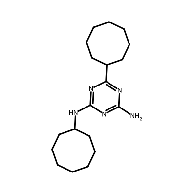 Nc1nc(NC2CCCCCCC2)nc(C2CCCCCCC2)n1